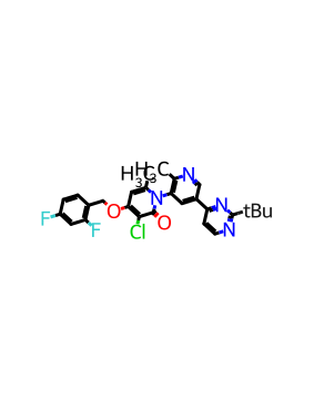 Cc1ncc(-c2ccnc(C(C)(C)C)n2)cc1-n1c(C)cc(OCc2ccc(F)cc2F)c(Cl)c1=O